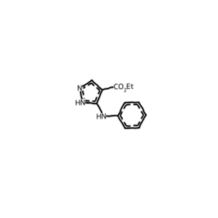 CCOC(=O)c1cn[nH]c1Nc1ccccc1